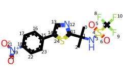 CC(C)(NS(=O)(=O)C(F)(F)F)c1ncc(-c2ccc([N+](=O)[O-])cc2)s1